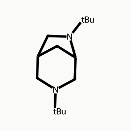 CC(C)(C)N1CC2CC(C1)N(C(C)(C)C)C2